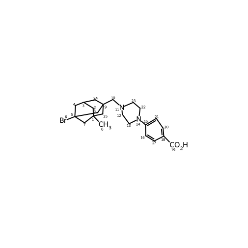 CC12CC3CC(Br)(C1)CC(CN1CCN(c4ccc(C(=O)O)cc4)CC1)(C3)C2